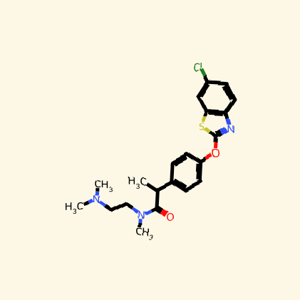 CC(C(=O)N(C)CCN(C)C)c1ccc(Oc2nc3ccc(Cl)cc3s2)cc1